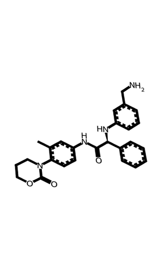 Cc1cc(NC(=O)[C@@H](Nc2cccc(CN)c2)c2ccccc2)ccc1N1CCCOC1=O